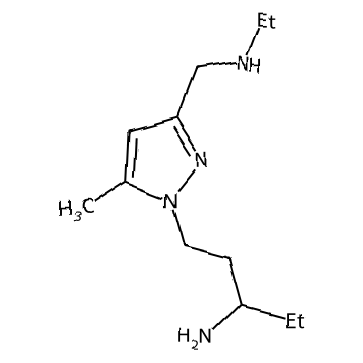 CCNCc1cc(C)n(CCC(N)CC)n1